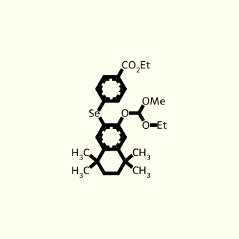 CCOC(=O)c1ccc([Se]c2cc3c(cc2OC(OC)OCC)C(C)(C)CCC3(C)C)cc1